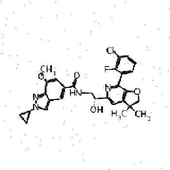 COc1cc(C(=O)NC[C@@H](O)c2cc3c(c(-c4cccc(Cl)c4F)n2)OCC3(C)C)cc2cn(C3CC3)nc12